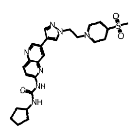 CS(=O)(=O)C1CCN(CCn2cc(-c3cnc4ccc(NC(=O)NC5CCCC5)nc4c3)cn2)CC1